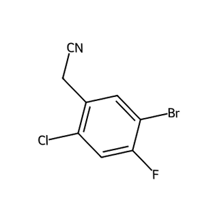 N#CCc1cc(Br)c(F)cc1Cl